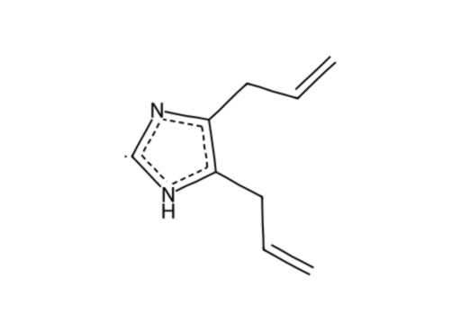 C=CCc1n[c][nH]c1CC=C